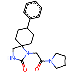 O=C(CN1C(=O)NCC12CCC(c1ccccc1)CC2)N1CCCC1